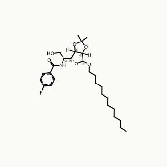 CCCCCCCCCCCCO[C@H]1O[C@H]([C@H](CO)NC(=O)c2ccc(F)cc2)[C@@H]2OC(C)(C)O[C@H]12